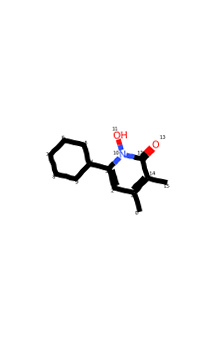 Cc1cc(C2CCCCC2)n(O)c(=O)c1C